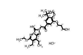 CCOc1nn2c(=N)n(CC(=O)c3cc(OCCCO)c(OC)c(C(C)(C)C)c3)nc2c(CC)c1CC.Cl